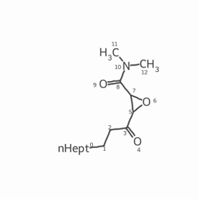 CCCCCCCCCC(=O)C1OC1C(=O)N(C)C